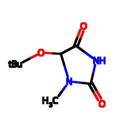 CN1C(=O)NC(=O)C1OC(C)(C)C